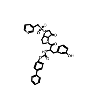 O=C(NC(Cc1cccc(O)c1)C(=O)N1CCC2C1C(=O)CN2S(=O)(=O)Cc1cccnc1)Oc1ccc(-c2ccccc2)cc1